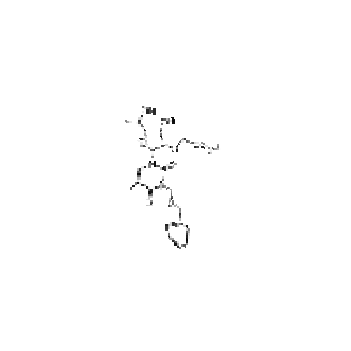 CCOC(=O)CO[C@@H]1[C@H](O)[C@@H]([C@@H](C)O)O[C@H]1n1cc(C)c(=O)n(COCc2ccccc2)c1=O